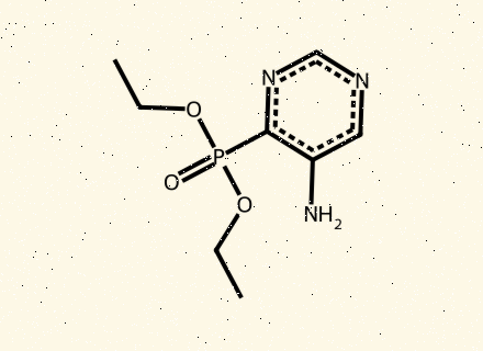 CCOP(=O)(OCC)c1ncncc1N